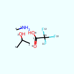 CC(C)O.CN.O=C(O)C(F)(F)F